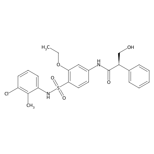 CCOc1cc(NC(=O)[C@@H](CO)c2ccccc2)ccc1S(=O)(=O)Nc1cccc(Cl)c1C